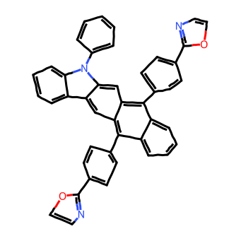 c1ccc(-n2c3ccccc3c3cc4c(-c5ccc(-c6ncco6)cc5)c5ccccc5c(-c5ccc(-c6ncco6)cc5)c4cc32)cc1